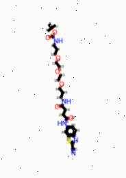 CC(C)(C)OC(=O)NCCCOCCOCCOCCCNC(=O)CCC(=O)Nc1ccc2nc(C#N)sc2c1